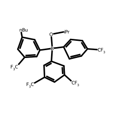 CCCCc1cc([B-](OC(C)C)(c2ccc(C(F)(F)F)cc2)c2cc(C(F)(F)F)cc(C(F)(F)F)c2)cc(C(F)(F)F)c1